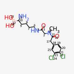 CN(CC(=O)NCCCCC(N)B(O)O)C(=O)Cc1ccc(Cl)c(Cl)c1